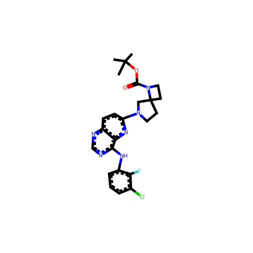 CC(C)(C)OC(=O)N1CCC12CCN(c1ccc3ncnc(Nc4cccc(Cl)c4F)c3n1)C2